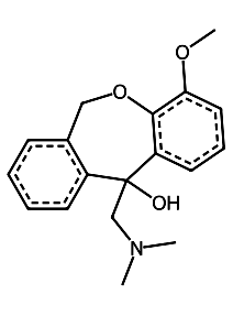 COc1cccc2c1OCc1ccccc1C2(O)CN(C)C